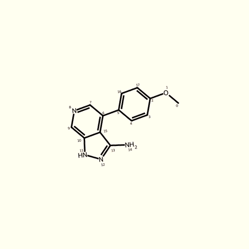 COc1ccc(-c2cncc3[nH]nc(N)c23)cc1